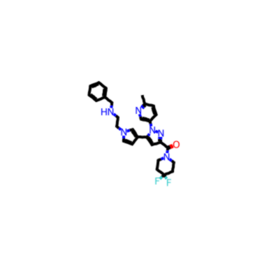 Cc1ccc(-n2nc(C(=O)N3CCC(F)(F)CC3)cc2-c2ccn(CCNCc3ccccc3)c2)cn1